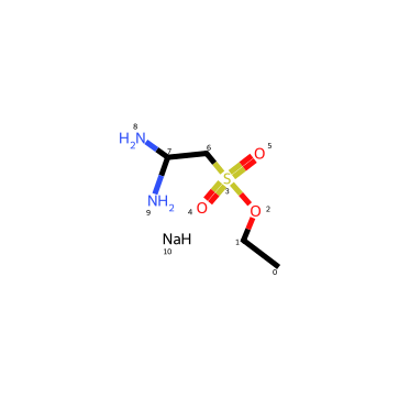 CCOS(=O)(=O)CC(N)N.[NaH]